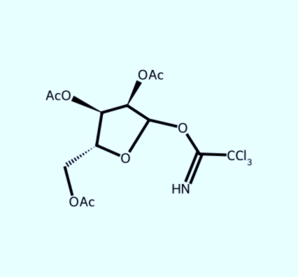 CC(=O)OC[C@H]1OC(OC(=N)C(Cl)(Cl)Cl)[C@H](OC(C)=O)[C@@H]1OC(C)=O